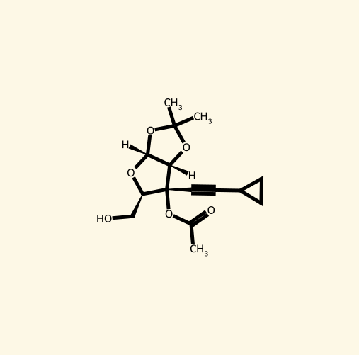 CC(=O)O[C@]1(C#CC2CC2)[C@@H](CO)O[C@@H]2OC(C)(C)O[C@@H]21